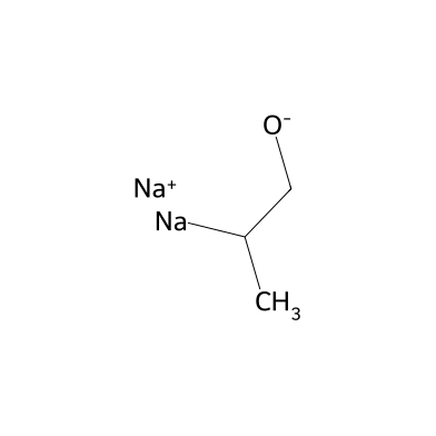 C[CH]([Na])C[O-].[Na+]